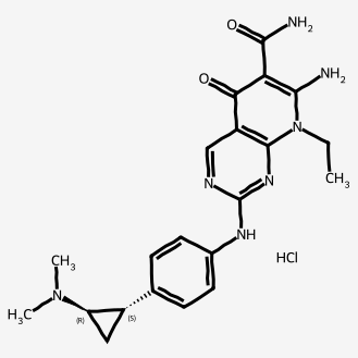 CCn1c(N)c(C(N)=O)c(=O)c2cnc(Nc3ccc([C@@H]4C[C@H]4N(C)C)cc3)nc21.Cl